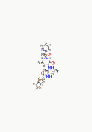 CC(C)C[C@H](NC(=O)c1cc2sccc2s1)C(=O)N[C@@H]1C[C@@H](C)CN(S(=O)(=O)c2ccccn2)CC1=O